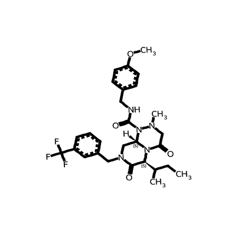 CCC(C)[C@H]1C(=O)N(Cc2cccc(C(F)(F)F)c2)C[C@H]2N1C(=O)CN(C)N2C(=O)NCc1ccc(OC)cc1